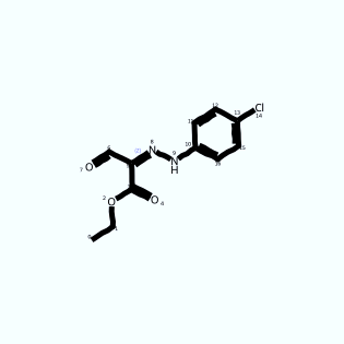 CCOC(=O)/C(C=O)=N\Nc1ccc(Cl)cc1